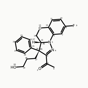 CC(=O)C1=NN2c3cc(F)ccc3OC[C@H]2[C@@]1(CCCO)c1ccccc1